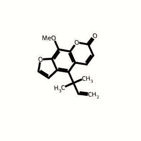 C=CC(C)(C)c1c2ccoc2c(OC)c2oc(=O)ccc12